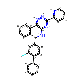 Fc1cc(CNc2nc(-c3ccccn3)nnc2-c2ccccc2)ccc1-c1ccccc1